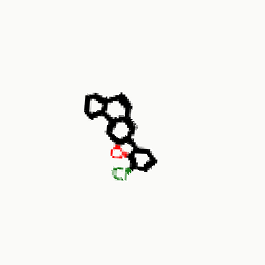 Clc1cccc2c1oc1cc3c(ccc4ccccc43)cc12